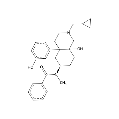 CN(C(=O)c1ccccc1)[C@@H]1CCC2(O)CN(CC3CC3)CCC2(c2cccc(O)c2)C1